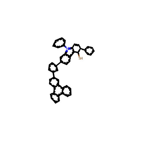 SC1c2c(n(-c3ccccc3)c3cc(-c4cccc(-c5ccc6c7ccccc7c7ccccc7c6c5)c4)ccc23)C=CC1c1ccccc1